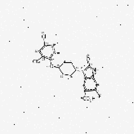 O=C(O)c1cc2c(cc1F)[nH]c(=O)n2[C@H]1CC[C@H](Oc2ncc(Cl)cc2Cl)CC1